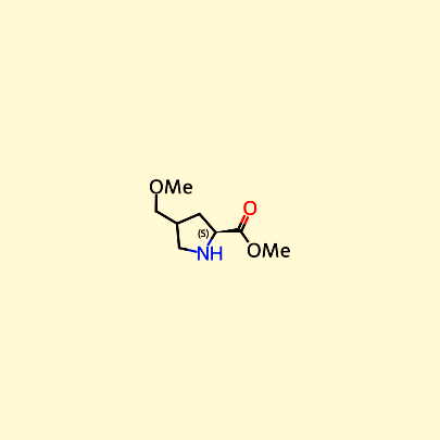 COCC1CN[C@H](C(=O)OC)C1